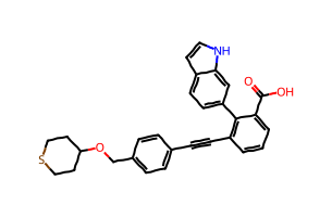 O=C(O)c1cccc(C#Cc2ccc(COC3CCSCC3)cc2)c1-c1ccc2cc[nH]c2c1